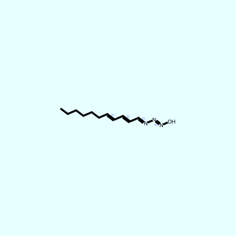 CCCCCC/C=C/C=C/C=N/N=N/O